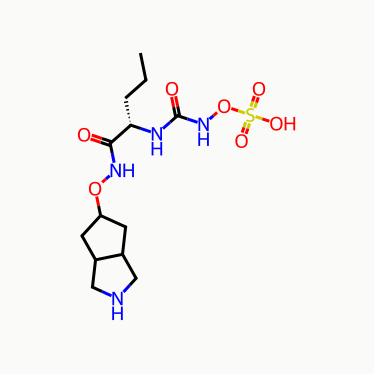 CCC[C@H](NC(=O)NOS(=O)(=O)O)C(=O)NOC1CC2CNCC2C1